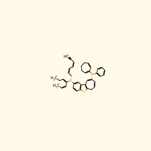 C#C/C=C\C=C/C[P@@](C(/C=C\C)=C/CC)c1ccc2sc3c(c2c1)C=C([P@](C1=CCCCC=C1)c1ccccc1)C=CC3